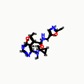 Cc1ncc(CNC(=O)c2c(C)oc3ncnc(N(C)C4(C)CC4)c23)o1